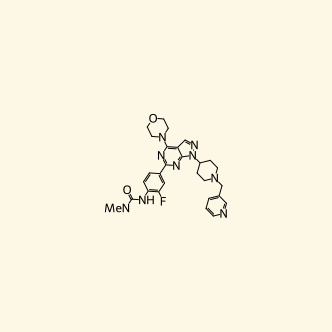 CNC(=O)Nc1ccc(-c2nc(N3CCOCC3)c3cnn(C4CCN(Cc5cccnc5)CC4)c3n2)cc1F